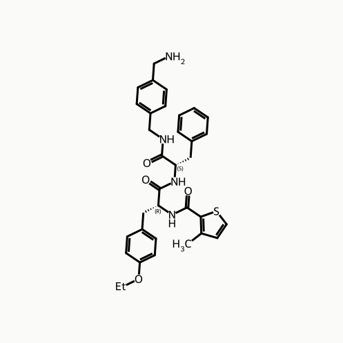 CCOc1ccc(C[C@@H](NC(=O)c2sccc2C)C(=O)N[C@@H](Cc2ccccc2)C(=O)NCc2ccc(CN)cc2)cc1